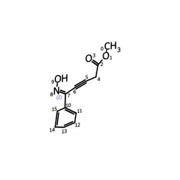 COC(=O)CC#C/C(=N\O)c1ccccc1